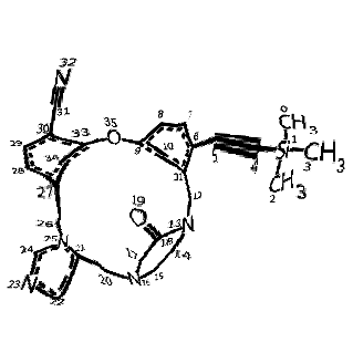 C[Si](C)(C)C#Cc1ccc2cc1CN1CCN(CC1=O)Cc1cncn1Cc1ccc(C#N)c(c1)O2